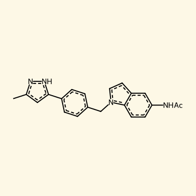 CC(=O)Nc1ccc2c(ccn2Cc2ccc(-c3cc(C)n[nH]3)cc2)c1